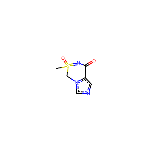 CS1(=O)=NC(=O)c2cncn2C1